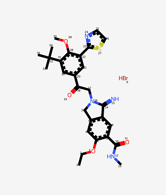 Br.CCOc1cc2c(cc1C(=O)NC)C(=N)N(CC(=O)c1cc(-c3nccs3)c(OC)c(C(C)(C)C)c1)C2